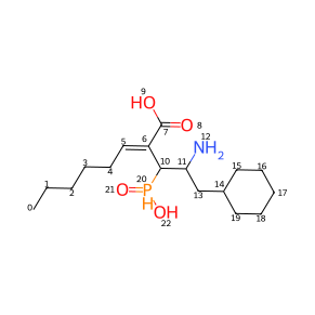 CCCCC/C=C(/C(=O)O)C(C(N)CC1CCCCC1)[PH](=O)O